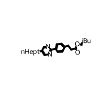 CCCCCCCc1cnc(-c2ccc(CCC(=O)OCC(C)CC)cc2)nc1